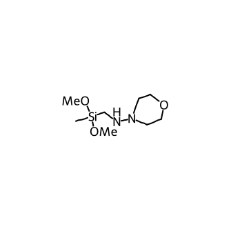 CO[Si](C)(CNN1CCOCC1)OC